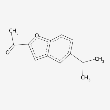 CC(=O)c1cc2cc(C(C)C)ccc2o1